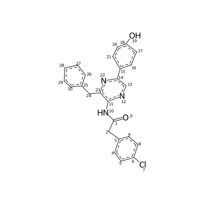 O=C(Cc1ccc(Cl)cc1)Nc1ncc(-c2ccc(O)cc2)nc1Cc1ccccc1